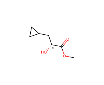 COC(=O)[C@H](O)CC1CC1